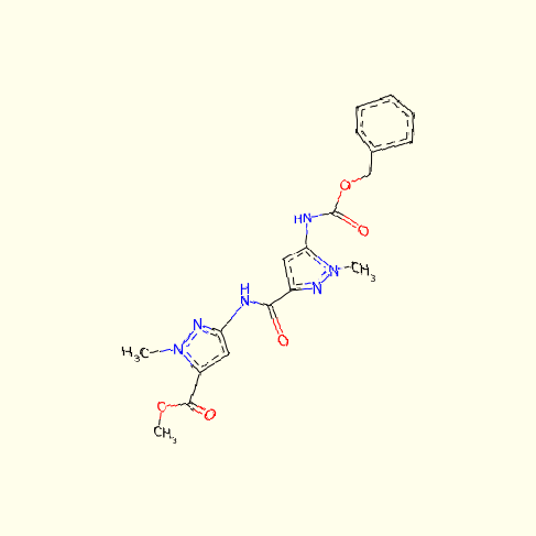 COC(=O)c1cc(NC(=O)c2cc(NC(=O)OCc3ccccc3)n(C)n2)nn1C